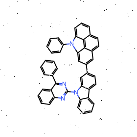 c1ccc(-c2nc(-n3c4ccccc4c4ccc(-c5cc6ccc7cccc8c7c6c(c5)n8-c5ccccc5)cc43)nc3ccccc23)cc1